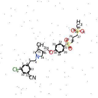 C[C@@H]1CN(CCc2cc(Cl)cc(C#N)c2)C[C@H]1COc1ccc(S(=O)(=O)CCCS(C)(=O)=O)cc1